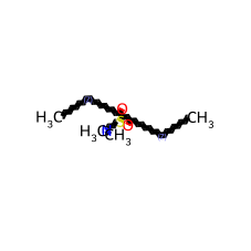 CCCCCCCC/C=C\CCCCCCCC(=O)CC(SCCCN(C)C)C(=O)CCCCCCC/C=C\CCCCCCCC